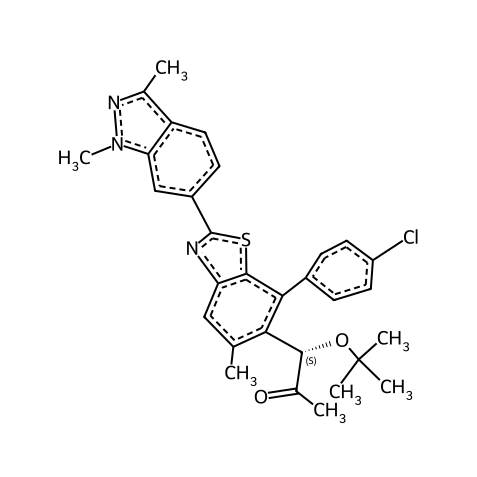 CC(=O)[C@@H](OC(C)(C)C)c1c(C)cc2nc(-c3ccc4c(C)nn(C)c4c3)sc2c1-c1ccc(Cl)cc1